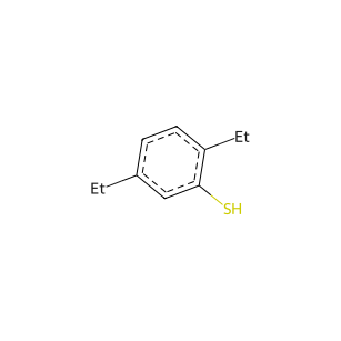 CCc1ccc(CC)c(S)c1